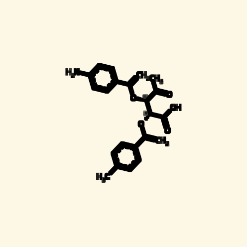 C=C(O[C@@H](C(C)=O)[C@@H](OC(=C)c1ccc(C)cc1)C(=O)O)c1ccc(N)cc1